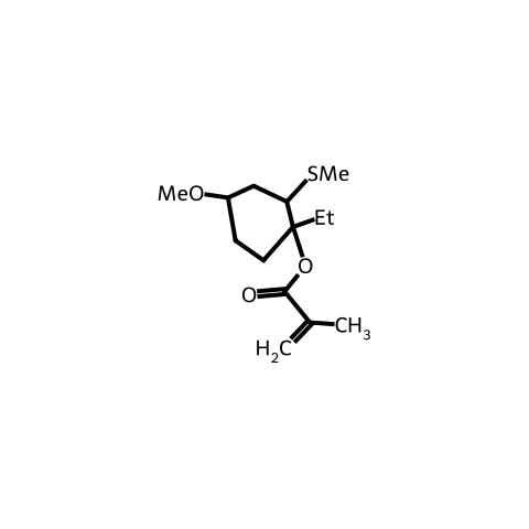 C=C(C)C(=O)OC1(CC)CCC(OC)CC1SC